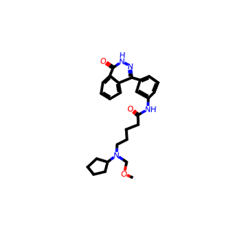 COCN(CCCCC(=O)Nc1cccc(-c2n[nH]c(=O)c3ccccc23)c1)C1CCCC1